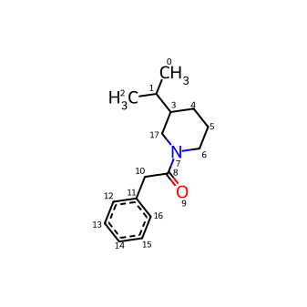 CC(C)C1CCCN(C(=O)Cc2ccccc2)C1